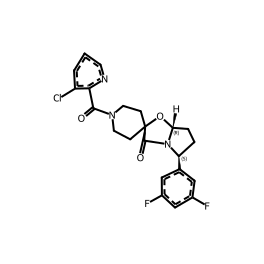 O=C(c1ncccc1Cl)N1CCC2(CC1)O[C@@H]1CC[C@@H](c3cc(F)cc(F)c3)N1C2=O